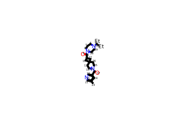 CCC(CC)N1CCCN(C(=O)C2CC3(CCN(C(=O)c4cncc(C)c4)CC3)C2)CC1